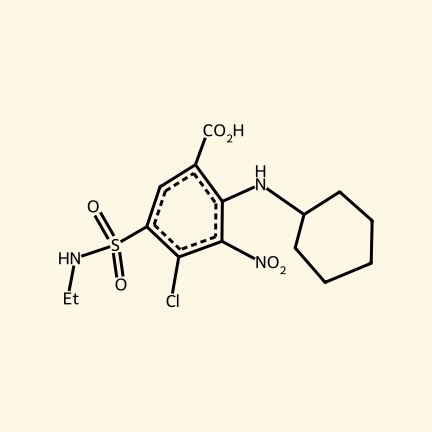 CCNS(=O)(=O)c1cc(C(=O)O)c(NC2CCCCC2)c([N+](=O)[O-])c1Cl